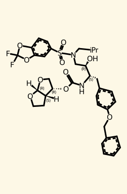 CC(C)CN(C[C@@H](O)[C@H](Cc1ccc(OCc2ccccc2)cc1)NC(=O)O[C@H]1CO[C@H]2OCC[C@H]21)S(=O)(=O)c1ccc2c(c1)OC(F)(F)O2